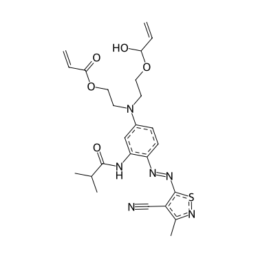 C=CC(=O)OCCN(CCOC(O)C=C)c1ccc(/N=N/c2snc(C)c2C#N)c(NC(=O)C(C)C)c1